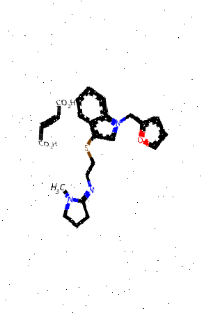 CN1CCCC1=NCCSc1cn(Cc2ccco2)c2ccccc12.O=C(O)C=CC(=O)O